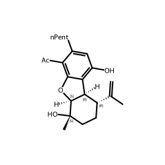 C=C(C)[C@@H]1CC[C@](C)(O)[C@H]2Oc3c(C(C)=O)c(CCCCC)cc(O)c3[C@@H]12